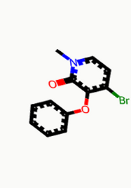 Cn1ccc(Br)c(Oc2ccccc2)c1=O